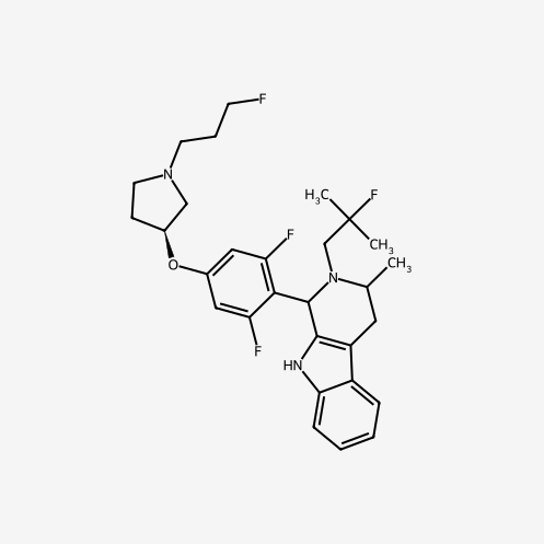 CC1Cc2c([nH]c3ccccc23)C(c2c(F)cc(O[C@H]3CCN(CCCF)C3)cc2F)N1CC(C)(C)F